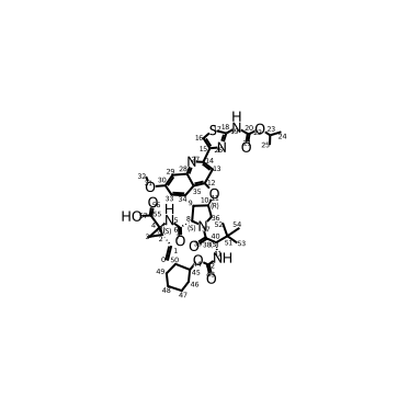 C=C[C@@H]1C[C@]1(NC(=O)[C@@H]1C[C@@H](Oc2cc(-c3csc(NC(=O)OC(C)C)n3)nc3cc(OC)ccc23)CN1C(=O)[C@@H](NC(=O)OC1CCCCC1)C(C)(C)C)C(=O)O